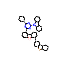 c1ccc(-c2nc(-c3cccc4oc5c(-c6ccc7sc8ccccc8c7c6)cccc5c34)nc(-n3c4ccccc4c4ccccc43)n2)cc1